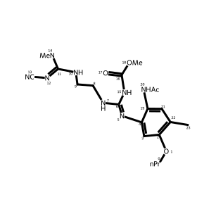 CCCOc1cc(N=C(NCCNC(=NC#N)NC)NC(=O)OC)c(NC(C)=O)cc1C